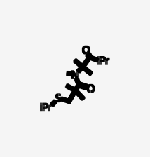 CC(C)SCC(C)(C)C(=O)N(C)C(C)(C)C(=O)C(C)C